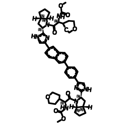 COC(=O)N[C@H](C(=O)N1[C@H](c2nc(-c3ccc(-c4ccc5cc(-c6c[nH]c([C@@H]7C[C@@H]8CCC[C@@H]8N7C(=O)[C@@H](NC(=O)OC)C7CCOCC7)n6)ccc5c4)cc3)c[nH]2)C[C@@H]2CCC[C@@H]21)C1CCOCC1